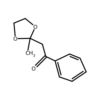 CC1(CC(=O)c2ccccc2)OCCO1